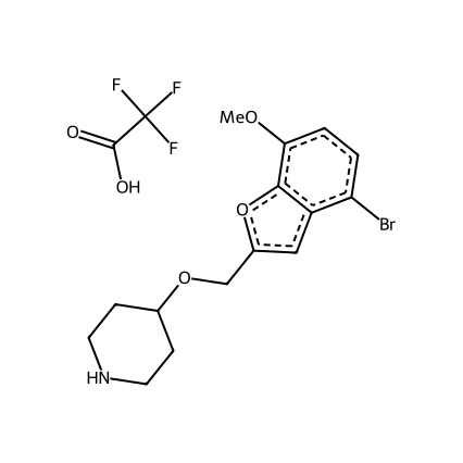 COc1ccc(Br)c2cc(COC3CCNCC3)oc12.O=C(O)C(F)(F)F